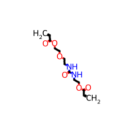 C=CC(=O)OCCNC(=O)NCCOCCOC(=O)C=C